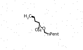 C=CCC[PH](=O)OCCCCCC